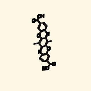 Cc1c2c(c(C)c3c1=Nc1ccc(C(=O)O)cc1O3)=Nc1ccc(C(=O)O)cc1O2